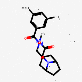 COc1cc(C)cc(C(=O)NCC2CC3CCC(C2)N3CC(=O)NC(C)(C)C)c1